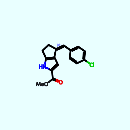 COC(=O)c1cc2c([nH]1)CC/C2=C/c1ccc(Cl)cc1